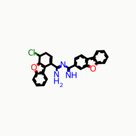 N=C(/N=C(\N)C1=CCC(Cl)c2oc3ccccc3c21)c1ccc2c(c1)oc1ccccc12